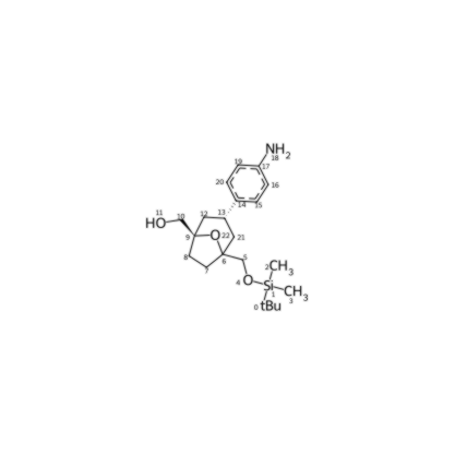 CC(C)(C)[Si](C)(C)OCC12CC[C@](CO)(C[C@H](c3ccc(N)cc3)C1)O2